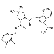 C[C@@]1(N)C[C@@H](C(=O)NCc2cccc(Cl)c2F)N(C(=O)Cc2cn(C(N)=O)c3ccccc23)C1